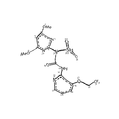 COc1cc(OC)nc(N(C(=O)Nc2ncccc2OCC(F)(F)F)[SH](=O)=O)n1